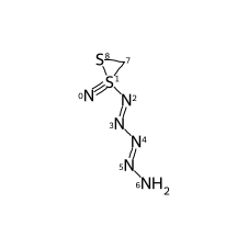 N#S1(N=NN=NN)CS1